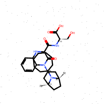 O=C(N[C@@H](CO)C(=O)O)C1NC2C=CC=CC2N([C@H]2C[C@H]3CC[C@@H](C2)N3C2CCCCCCC2)C1=O